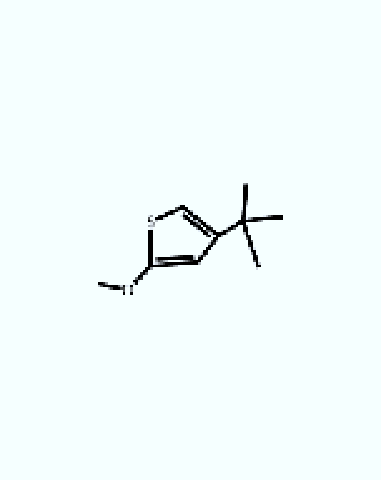 COc1cc(C(C)(C)C)cs1